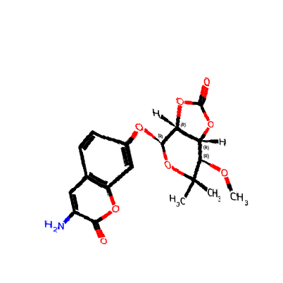 CO[C@@H]1[C@H]2OC(=O)O[C@H]2[C@H](Oc2ccc3cc(N)c(=O)oc3c2)OC1(C)C